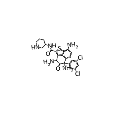 Nc1ccc2c3c(c(C(=O)NC4CCCNC4)sc13)C(N)C(=O)C2(N)c1cc(Cl)cc(Cl)c1